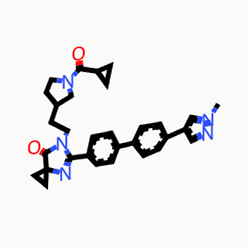 Cn1cc(-c2ccc(-c3ccc(C4=NC5(CC5)C(=O)N4CCC4CCN(C(=O)C5CC5)C4)cc3)cc2)cn1